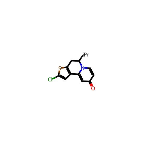 CC(C)C1Cc2sc(Cl)cc2-c2cc(=O)ccn21